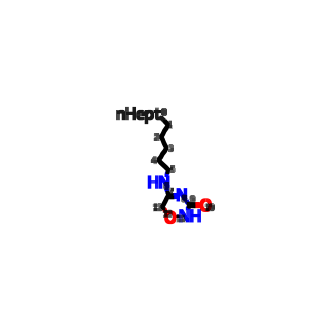 CCCCCCCCCCCCNC1=NC(=O)NOC1